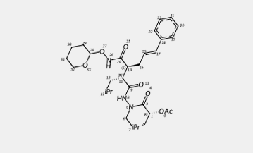 CC(=O)O[C@H](C)C(=O)N(CC(C)C)NC(=O)[C@H](CC(C)C)[C@H](CC=Cc1ccccc1)C(=O)NOC1CCCCO1